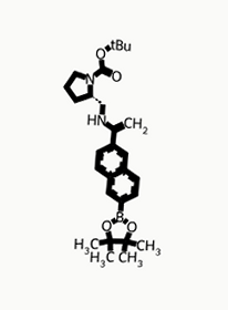 C=C(NC[C@@H]1CCCN1C(=O)OC(C)(C)C)c1ccc2cc(B3OC(C)(C)C(C)(C)O3)ccc2c1